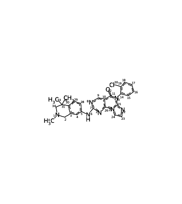 CN1Cc2cc(Nc3ncc4c(=O)n(-c5ccccc5Cl)c5nccn5c4n3)ccc2C(C)(C)C1